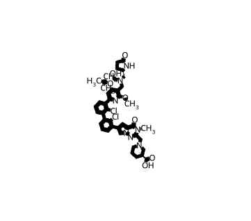 COc1nc(-c2cccc(-c3cccc(-c4cc5c(=O)n(C)c(CN6CCC[C@H](C(=O)O)C6)nn5c4)c3Cl)c2Cl)ccc1CN(C[C@@H]1CCC(=O)N1)C(O)OC(C)(C)C